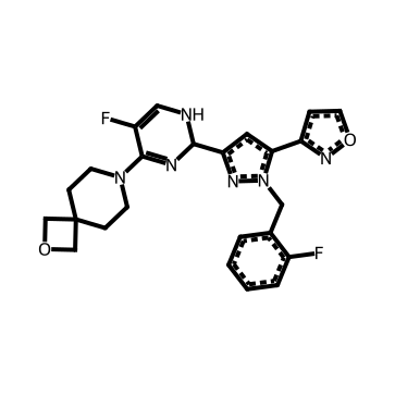 FC1=CNC(c2cc(-c3ccon3)n(Cc3ccccc3F)n2)N=C1N1CCC2(CC1)COC2